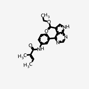 CC=C(C)C(=O)Nc1cccc(-c2ncnc3[nH]cc(C(=O)OCC)c23)c1